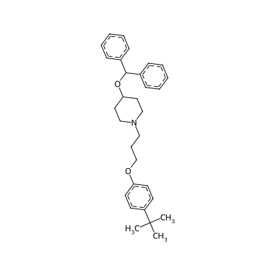 CC(C)(C)c1ccc(OCCCN2CCC(OC(c3ccccc3)c3ccccc3)CC2)cc1